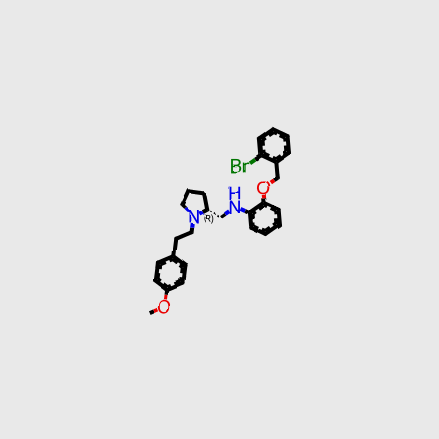 COc1ccc(CCN2CCC[C@@H]2CNc2ccccc2OCc2ccccc2Br)cc1